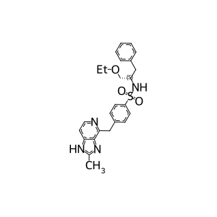 CCOC[C@H](Cc1ccccc1)NS(=O)(=O)c1ccc(Cc2nccc3[nH]c(C)nc23)cc1